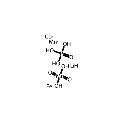 O=P(O)(O)O.[Co].[Fe].[LiH].[Mn].[O]=[Mn](=[O])([OH])[OH]